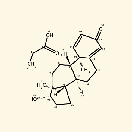 CCC(=O)O.C[C@]12CC[C@H]3[C@@H](CCC4=CC(=O)C=C[C@@]43C)[C@@H]1CC[C@@H]2O